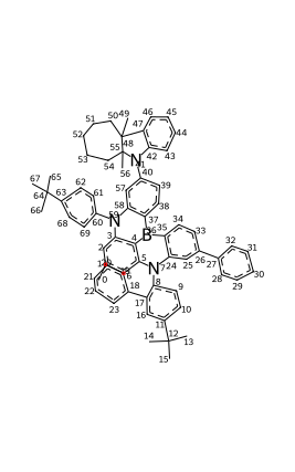 Cc1cc2c3c(c1)N(c1ccc(C(C)(C)C)cc1-c1ccccc1)c1cc(-c4ccccc4)ccc1B3c1ccc(N3c4ccccc4C4(C)CCCCCC34C)cc1N2c1ccc(C(C)(C)C)cc1